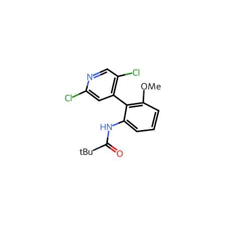 COc1cccc(NC(=O)C(C)(C)C)c1-c1cc(Cl)ncc1Cl